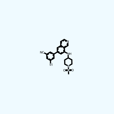 CCc1cc(C#N)cc(-c2cc(NC3CCN(S(C)(=O)=O)CC3)c3cnccc3c2)c1